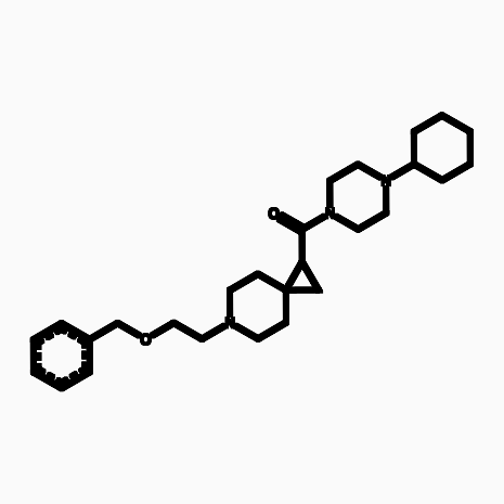 O=C(C1CC12CCN(CCOCc1ccccc1)CC2)N1CCN(C2CCCCC2)CC1